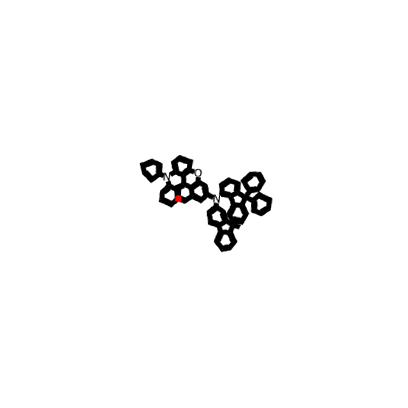 CC1(C)c2ccccc2-c2ccc(N(c3cc4c5c(cccc5c3)-c3c(cccc3N(c3ccccc3)c3ccccc3)O4)c3cccc4c3-c3ccccc3C4(c3ccccc3)c3ccccc3)cc21